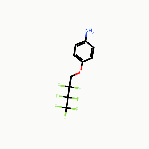 Nc1ccc(OCC(F)(F)C(F)(F)C(F)(F)F)cc1